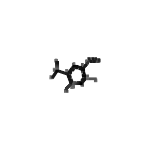 C=C(C)c1cc(NC)c(C)cc1C